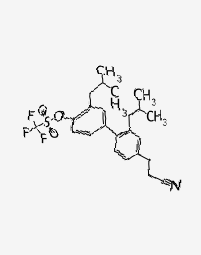 CC(C)Cc1cc(-c2ccc(CCC#N)cc2CC(C)C)ccc1OS(=O)(=O)C(F)(F)F